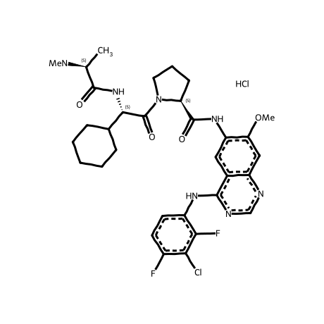 CN[C@@H](C)C(=O)N[C@H](C(=O)N1CCC[C@H]1C(=O)Nc1cc2c(Nc3ccc(F)c(Cl)c3F)ncnc2cc1OC)C1CCCCC1.Cl